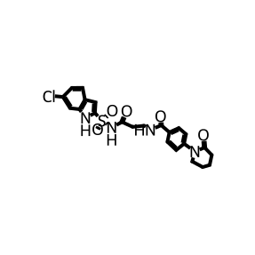 O=C(CCNC(=O)c1ccc(N2CCCCC2=O)cc1)NS(=O)(=O)c1cc2ccc(Cl)cc2[nH]1